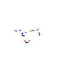 CS(=O)(=O)/N=C(\NCCCSc1nccc(N/C(N)=N\CC(F)(F)F)n1)NCC(F)(F)F.O=C(O)/C=C\C(=O)O